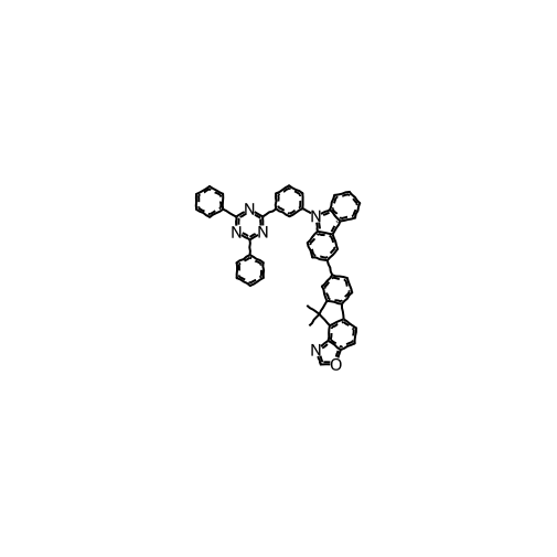 CC1(C)c2cc(-c3ccc4c(c3)c3ccccc3n4-c3cccc(-c4nc(-c5ccccc5)nc(-c5ccccc5)n4)c3)ccc2-c2ccc3ocnc3c21